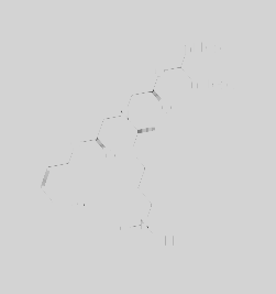 CCCCCC/C=C\COC(=O)CN(CC(=O)OC(CCCCCCC)CCCCCCC)C(=O)SCCCN(C)C